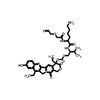 CCc1c2c(nc3ccc(O)cc13)-c1cc3c(c(=O)n1C2)COC(=O)C3(CC)OC(=O)OCC(NC(=O)C(CCCCN)NC(=O)COCC=O)C(C)C